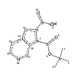 CC(C)(C)OC(=O)n1c(C(=O)O)cc2ccncc21